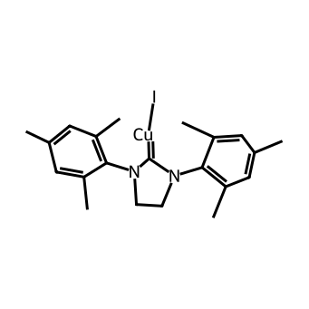 Cc1cc(C)c(N2CCN(c3c(C)cc(C)cc3C)[C]2=[Cu][I])c(C)c1